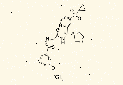 CCOc1cncc(-c2cnc(C(=O)N[C@H](c3cc(S(=O)(=O)C4CC4)ccn3)[C@@H]3CCOC3)s2)n1